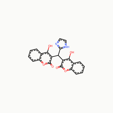 O=c1oc2ccccc2c(O)c1C(c1ncc[nH]1)c1c(O)c2ccccc2oc1=O